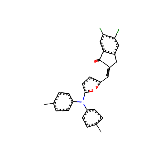 CC(C)(C)c1ccc(N(c2ccc(C(C)(C)C)cc2)c2ccc(/C=C3/Cc4cc(F)c(F)cc4C3=O)o2)cc1